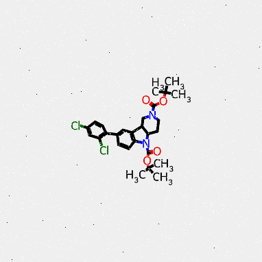 CC(C)(C)OC(=O)N1CCC2C(C1)c1cc(-c3ccc(Cl)cc3Cl)ccc1N2C(=O)OC(C)(C)C